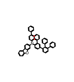 c1ccc(-c2ccc(N(c3ccc4c(c3)oc3ccccc34)c3ccc(-c4cccc(-c5ccccc5)c4-c4ccccc4)cc3-c3ccccc3)cc2)cc1